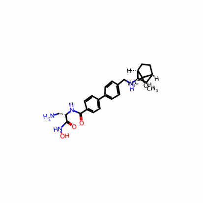 C[C@@H]1[C@@H](NCc2ccc(-c3ccc(C(=O)N[C@@H](CN)C(=O)NO)cc3)cc2)[C@H]2CC[C@@H]1C2(C)C